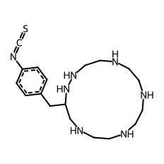 S=C=Nc1ccc(CC2CNCCNCCNCCNCCNN2)cc1